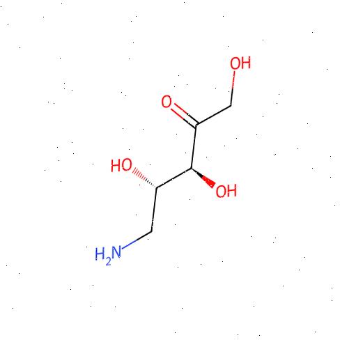 NC[C@H](O)[C@H](O)C(=O)CO